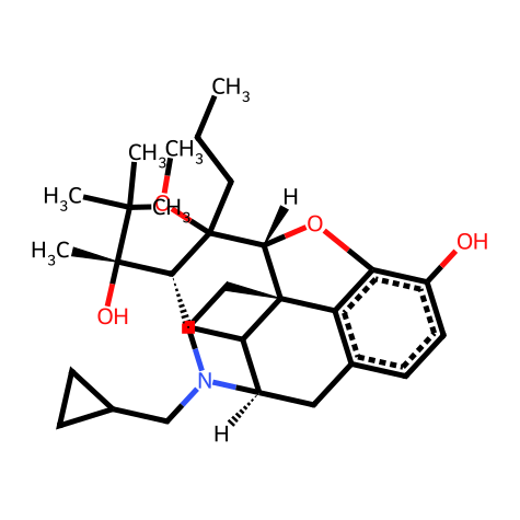 CCCC1(OC)[C@@H]([C@](C)(O)C(C)(C)C)CC2[C@H]3Cc4ccc(O)c5c4[C@@]2(CCN3CC2CC2)[C@H]1O5